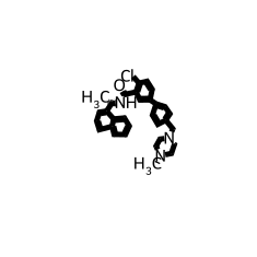 C[C@@H](NC(=O)c1cc(-c2ccc(CN3CCN(C)CC3)cc2)ccc1Cl)c1cccc2ccccc12